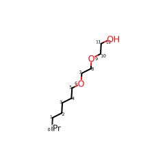 CC(C)CCCCCOCCOCCO